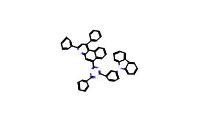 c1ccc(-c2cc(-c3ccccc3)c3c(cc(-c4nc(-c5ccccc5)nc(-c5cccc(-n6c7ccccc7c7ccccc76)c5)n4)c4ccccc43)n2)cc1